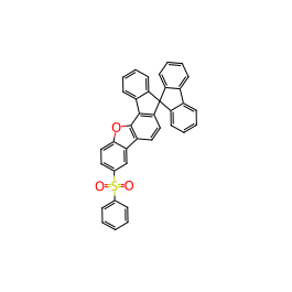 O=S(=O)(c1ccccc1)c1ccc2oc3c4c(ccc3c2c1)C1(c2ccccc2-c2ccccc21)c1ccccc1-4